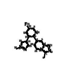 Cc1nnc2cc(-c3ncc(F)cc3-c3cnn(C)c3)ccn12